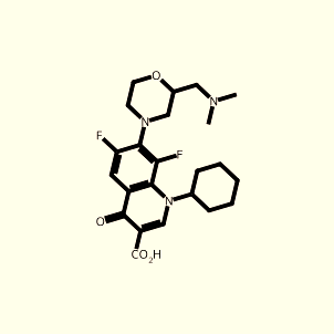 CN(C)CC1CN(c2c(F)cc3c(=O)c(C(=O)O)cn(C4CCCCC4)c3c2F)CCO1